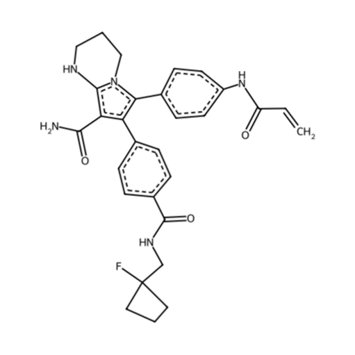 C=CC(=O)Nc1ccc(-c2c(-c3ccc(C(=O)NCC4(F)CCC4)cc3)c(C(N)=O)c3n2CCCN3)cc1